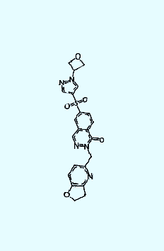 O=c1c2ccc(S(=O)(=O)c3cnn(C4COC4)c3)cc2cnn1Cc1ccc2c(n1)CCO2